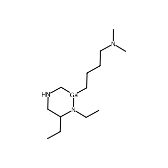 CCC1CN[CH2][Ga]([CH2]CCCN(C)C)[N]1CC